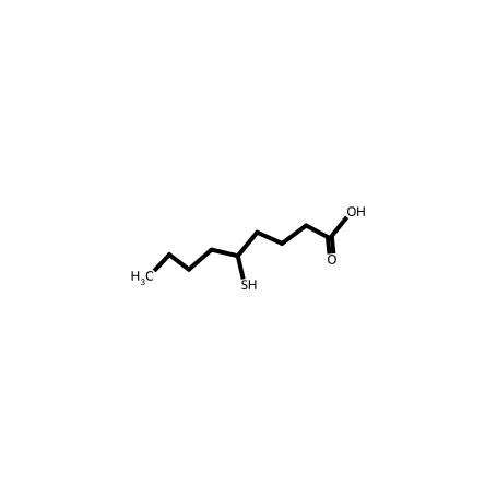 CCCCC(S)CCCC(=O)O